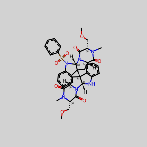 COC[C@H]1C(=O)N2[C@H]3Nc4ccccc4[C@@]3(C34C[C@H]5C(=O)N(C)[C@@H](COC)C(=O)N5[C@H]3N(S(=O)(=O)c3ccccc3)c3ccccc34)C[C@H]2C(=O)N1C